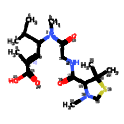 C/C(=C\C(C(C)C)N(C)C(=O)CNC(=O)C1N(C)CSC1(C)C)C(=O)O